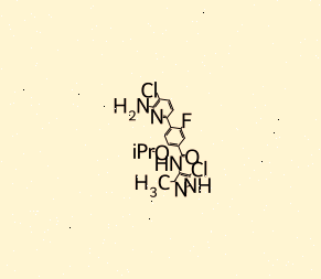 Cc1n[nH]c(Cl)c1NC(=O)c1cc(F)c(-c2ccc(Cl)c(N)n2)cc1OC(C)C